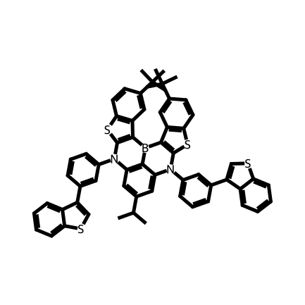 CC(C)c1cc2c3c(c1)N(c1cccc(-c4csc5ccccc45)c1)c1sc4ccc(C(C)(C)C)cc4c1B3c1c(sc3ccc(C(C)(C)C)cc13)N2c1cccc(-c2csc3ccccc23)c1